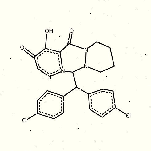 O=C1c2c(O)c(=O)cnn2C(C(c2ccc(Cl)cc2)c2ccc(Cl)cc2)N2CCCCN12